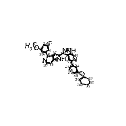 COc1cc(F)cc(-c2nccc3[nH]c(-c4n[nH]c5cnc(-c6cncc(OC7CCCCC7)c6)cc45)cc23)c1